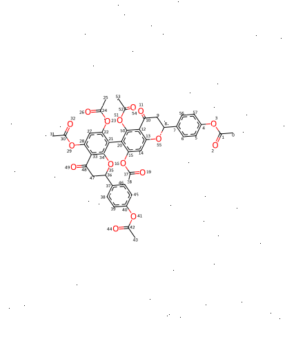 CC(=O)Oc1ccc(C2CC(=O)c3c(cc(OC(C)=O)c(-c4c(OC(C)=O)cc(OC(C)=O)c5c4OC(c4ccc(OC(C)=O)cc4)CC5=O)c3OC(C)=O)O2)cc1